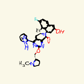 CCc1c(F)ccc2cc(O)cc(N3CCc4c(nc(OC[C@@H]5CCCN5C)nc4N4CC5CCC4CN5)C3=O)c12